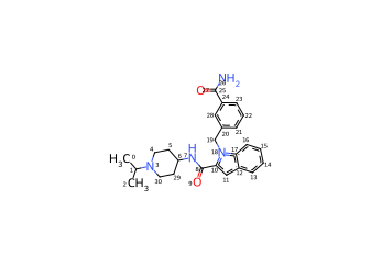 CC(C)N1CCC(NC(=O)c2cc3ccccc3n2Cc2cccc(C(N)=O)c2)CC1